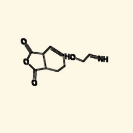 N=CCO.O=C1OC(=O)C2CCC=CC12